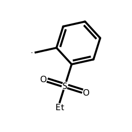 [CH2]c1ccccc1S(=O)(=O)CC